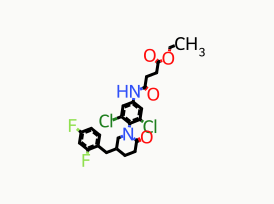 CCOC(=O)CCC(=O)Nc1cc(Cl)c(N2CC(Cc3ccc(F)cc3F)CCC2=O)c(Cl)c1